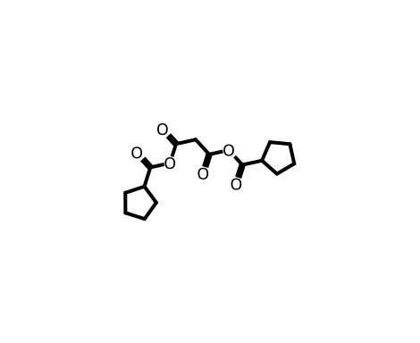 O=C(CC(=O)OC(=O)C1CCCC1)OC(=O)C1CCCC1